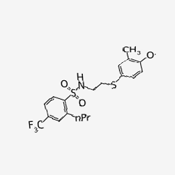 CCCc1cc(C(F)(F)F)ccc1S(=O)(=O)NCCSc1ccc([O])c(C)c1